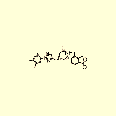 Cc1cnc(-n2ncc(CN3C[C@@H](c4ccc5c(c4C)COC5=O)N[C@@H](C)C3)n2)cc1C